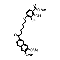 CCCc1c(OCCCCCC(=O)c2ccc3cc(OC)c(OC)cc3c2)ccc(C(=O)OC)c1O